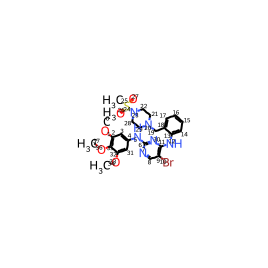 COc1cc(Nc2ncc(Br)c(Nc3ccccc3CN3CCN(S(C)(=O)=O)CC3)n2)cc(OC)c1OC